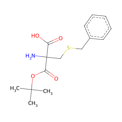 CC(C)(C)OC(=O)C(N)(CSCc1ccccc1)C(=O)O